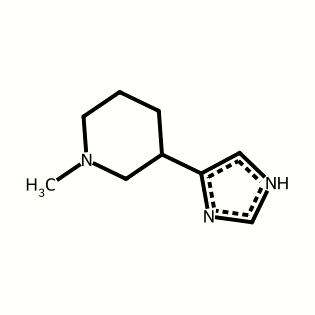 CN1CCCC(c2c[nH]cn2)C1